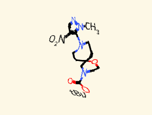 Cn1ncc([N+](=O)[O-])c1N1CCC2(CC1)CN(C(=O)OC(C)(C)C)CCO2